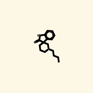 CCCCN1CCCC2(C1)C(=O)Nc1ccccc12